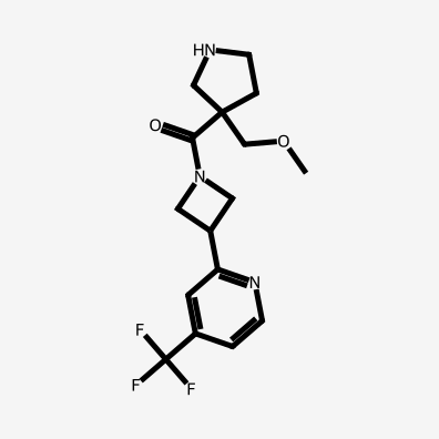 COCC1(C(=O)N2CC(c3cc(C(F)(F)F)ccn3)C2)CCNC1